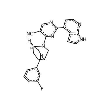 N#Cc1cnc(-c2ccnc3[nH]ccc23)nc1N1CC2CC[C@H]1CN2c1cccc(F)c1